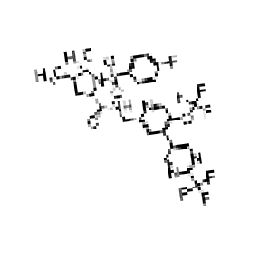 C[C@@H]1C[C@@H](C(=O)NCc2cc(-c3cnc(C(F)(F)F)nc3)c(OC(F)(F)F)cn2)N(S(=O)(=O)c2ccc(F)cc2)[C@H]1C